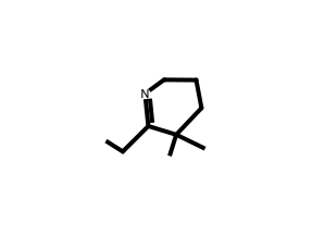 CCC1=NCCCC1(C)C